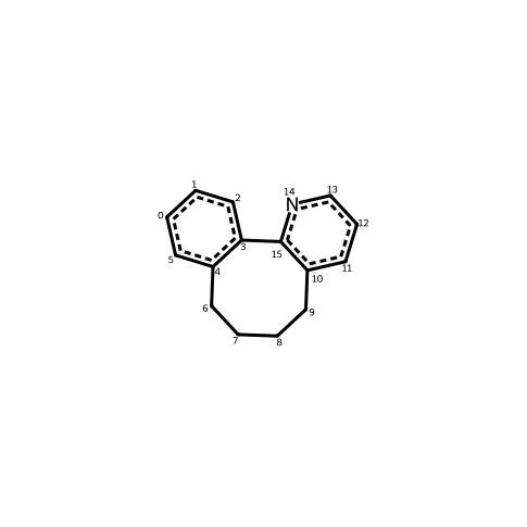 c1ccc2c(c1)CCCCc1cccnc1-2